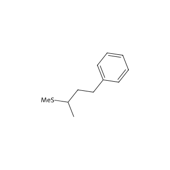 CSC(C)CCc1ccccc1